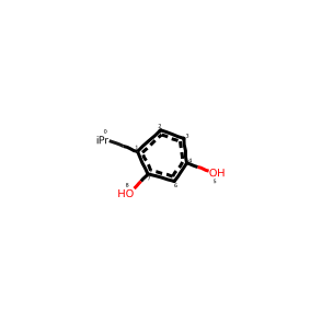 CC(C)c1[c]cc(O)cc1O